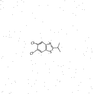 CC(C)c1nc2cc(Cl)c(Cl)cc2s1